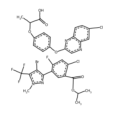 CC(C)OC(=O)c1cc(-c2nn(C)c(C(F)(F)F)c2Br)c(F)cc1Cl.CC(Oc1ccc(Oc2cnc3cc(Cl)ccc3n2)cc1)C(=O)O